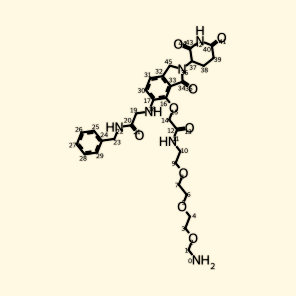 NCOCCOCCOCCNC(=O)COc1c(NCC(=O)NCc2ccccc2)ccc2c1C(=O)N(C1CCC(=O)NC1=O)C2